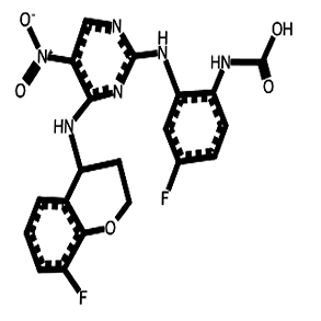 O=C(O)Nc1ccc(F)cc1Nc1ncc([N+](=O)[O-])c(NC2CCOc3c(F)cccc32)n1